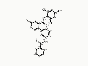 O=C1C=c2c(Nc3c(Cl)cc(F)cc3Cl)nc3ccc(NC(=O)c4cnccn4)cc3c2=C[N]1